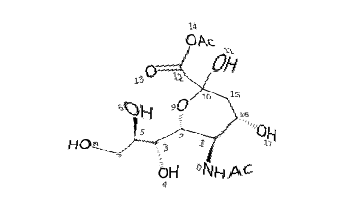 CC(=O)N[C@H]1[C@H]([C@H](O)[C@H](O)CO)OC(O)(C(=O)OC(C)=O)C[C@@H]1O